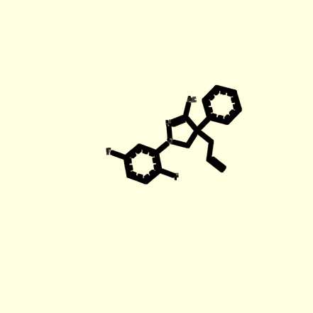 C=CCC1(c2ccccc2)CN(c2cc(F)ccc2F)N=C1C(C)=O